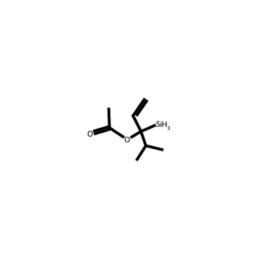 C=CC([SiH3])(OC(C)=O)C(C)C